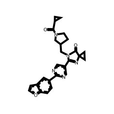 O=C(C1CC1)N1CCC(CN2C(=O)C3(CC3)N=C2c2cnc(-c3ccc4occc4c3)nc2)C1